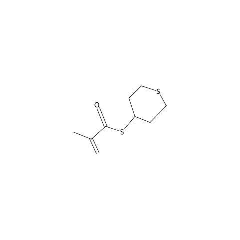 C=C(C)C(=O)SC1CCSCC1